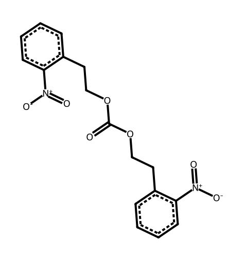 O=C(OCCc1ccccc1[N+](=O)[O-])OCCc1ccccc1[N+](=O)[O-]